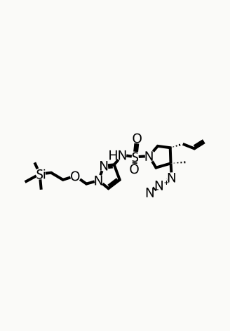 C=CC[C@H]1CN(S(=O)(=O)Nc2ccn(COCC[Si](C)(C)C)n2)C[C@]1(C)N=[N+]=[N-]